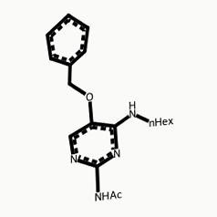 CCCCCCNc1nc(NC(C)=O)ncc1OCc1ccccc1